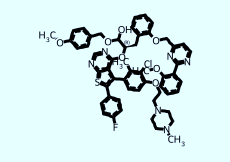 COc1ccc(COC(O)[C@@H](Cc2ccccc2OCc2ccnc(-c3ccccc3OC)n2)Oc2ncnc3sc(-c4ccc(F)cc4)c(-c4ccc(OCCN5CCN(C)CC5)c(Cl)c4C)c23)cc1